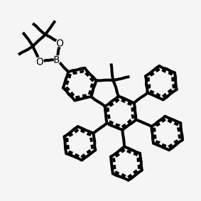 CC1(C)c2cc(B3OC(C)(C)C(C)(C)O3)ccc2-c2c(-c3ccccc3)c(-c3ccccc3)c(-c3ccccc3)c(-c3ccccc3)c21